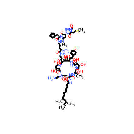 CC[C@H](C)C[C@H](C)CCCCCCCCC(=O)N[C@H]1C[C@@H](O)[C@@H](NCCN)NC(=O)[C@@H]2[C@@H](O)CCN2C(=O)[C@H]([C@H](O)CCNC(=O)[C@@H](N)CCCNC(=O)[C@H](Cc2ccccc2)N2C(=O)[C@@H](NC(=O)[C@H](CCSC)NC=O)CC2C)C(C)C(=O)[C@H]([C@H](O)[C@@H](O)c2ccc(O)cc2)NC(=O)[C@@H]2C[C@@H](O)CN2C(=O)[C@H]([C@@H](C)O)NC1=O